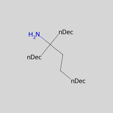 CCCCCCCCCCCCC(N)(CCCCCCCCCC)CCCCCCCCCC